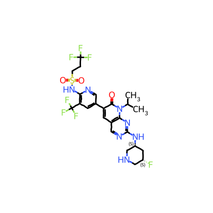 CC(C)n1c(=O)c(-c2cnc(NS(=O)(=O)CCC(F)(F)F)c(C(F)(F)F)c2)cc2cnc(N[C@@H]3CNC[C@@H](F)C3)nc21